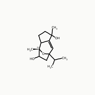 CC(C)C12C=C3C(CCC3(C)O)[C@](C)(O1)C(O)C2